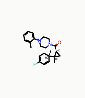 Cc1ccccc1N1CCN(C(=O)[C@H]2C[C@]2(C)[C@]2(C)C=CC(F)=CC2)CC1